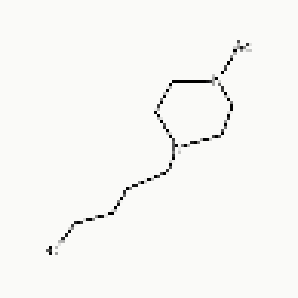 CC(=O)N1CCN(CCCC[O])CC1